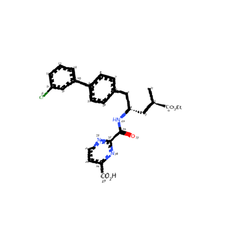 CCOC(=O)[C@H](C)C[C@@H](Cc1ccc(-c2cccc(Cl)c2)cc1)NC(=O)c1nccc(C(=O)O)n1